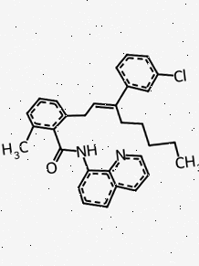 CCCCCC(=CCc1cccc(C)c1C(=O)Nc1cccc2cccnc12)c1cccc(Cl)c1